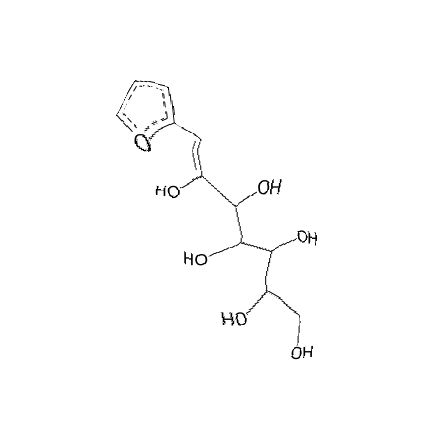 OCC(O)C(O)C(O)C(O)C(O)=Cc1ccco1